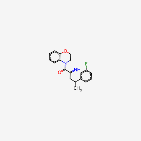 CC(CC(=N)C(=O)N1CCOc2ccccc21)c1cccc(F)c1